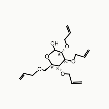 C=CCOC[C@H]1OC(O)[C@H](OCC=C)[C@@H](OCC=C)[C@@H]1OCC=C